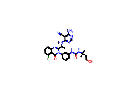 CC(Nc1ncnc(N)c1C#N)c1nc2cccc(Cl)c2c(=O)n1-c1cccc(NC(=O)NC(C)(C)CCO)c1